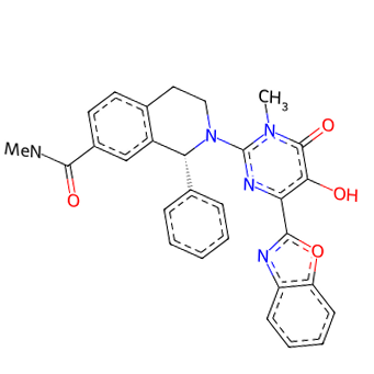 CNC(=O)c1ccc2c(c1)[C@@H](c1ccccc1)N(c1nc(-c3nc4ccccc4o3)c(O)c(=O)n1C)CC2